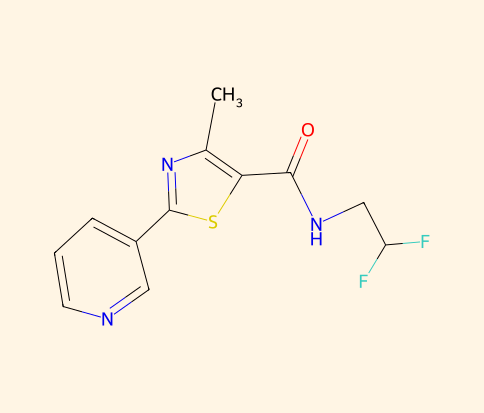 Cc1nc(-c2cccnc2)sc1C(=O)NCC(F)F